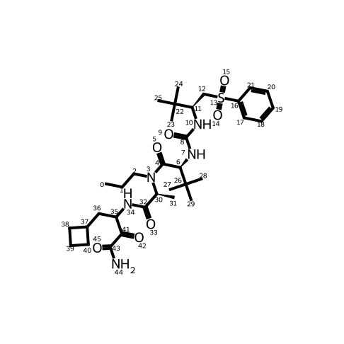 CCCN(C(=O)[C@@H](NC(=O)N[C@H](CS(=O)(=O)c1ccccc1)C(C)(C)C)C(C)(C)C)[C@@H](C)C(=O)NC(CC1CCC1)C(=O)C(N)=O